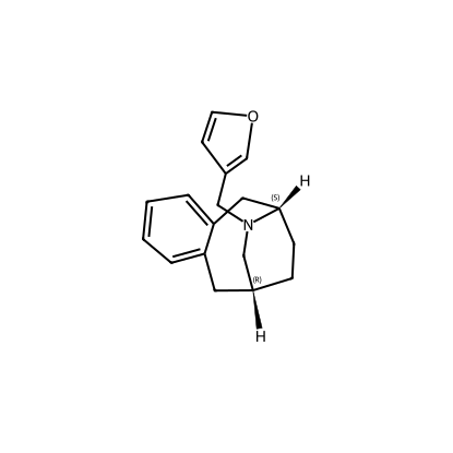 c1ccc2c(c1)C[C@H]1CC[C@@H](C2)N(Cc2ccoc2)C1